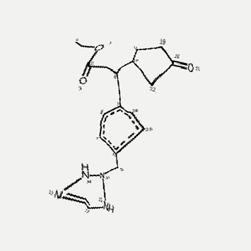 COC(=O)C(c1ccc(CN2NC=NN2)cc1)C1CCC(=O)C1